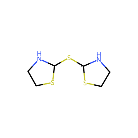 C1CS[C](S[C]2NCCS2)N1